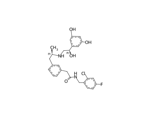 C[C@H](Cc1cccc(CC(=O)NCc2ccc(F)cc2Cl)c1)NC[C@H](O)c1cc(O)cc(O)c1